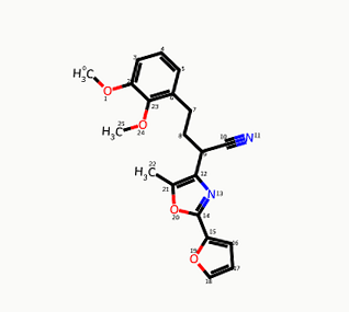 COc1cccc(CCC(C#N)c2nc(-c3ccco3)oc2C)c1OC